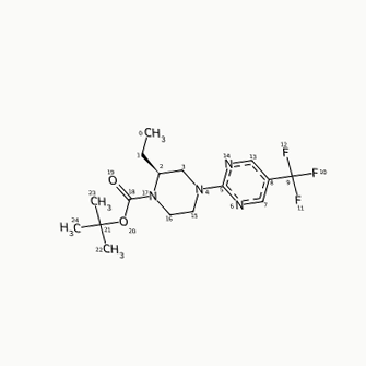 CC[C@H]1CN(c2ncc(C(F)(F)F)cn2)CCN1C(=O)OC(C)(C)C